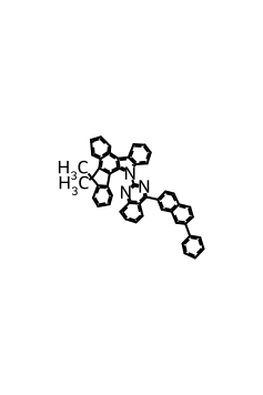 CC1(C)c2ccccc2-c2c1c1ccccc1c1c3ccccc3n(-c3nc(-c4ccc5ccc(-c6ccccc6)cc5c4)c4ccccc4n3)c21